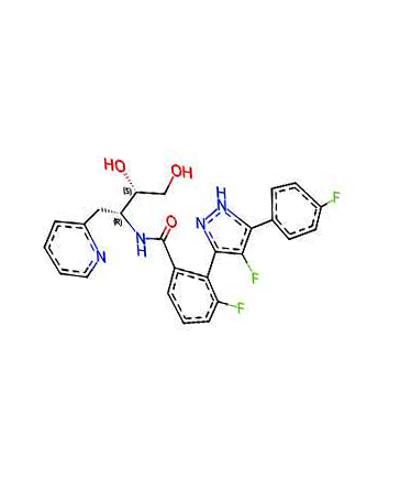 O=C(N[C@H](Cc1ccccn1)[C@H](O)CO)c1cccc(F)c1-c1n[nH]c(-c2ccc(F)cc2)c1F